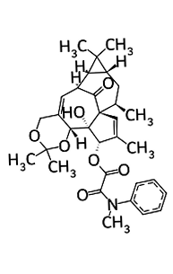 CC1=C[C@]23C(=O)[C@@H](C=C4COC(C)(C)O[C@H]4[C@]2(O)[C@H]1OC(=O)C(=O)N(C)c1ccccc1)[C@H]1[C@@H](C[C@H]3C)C1(C)C